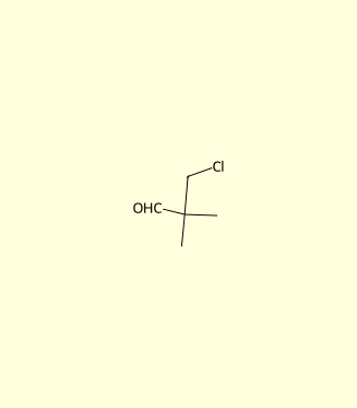 CC(C)(C=O)CCl